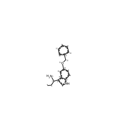 CCC(N)c1c[nH]c2ccc(OCc3ccccc3)cc12